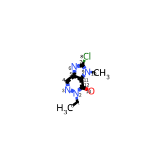 CCn1ncc2nc(Cl)n(C)c2c1=O